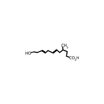 CC(CC=CCC=CCCO)CCC(=O)O